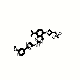 COc1cc(-c2ncc(Nc3ncc4c(N5CC(CS(C)(=O)=O)C5)ccc(C(C)C)c4n3)s2)ccn1